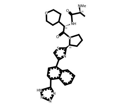 CN[C@@H](C)C(=O)N[C@H](C(=O)N1CCC[C@H]1c1nc(-c2ccc(-c3nnn[nH]3)c3ccccc23)cs1)C1CCOCC1